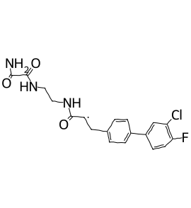 NC(=O)C(=O)NCCNC(=O)[CH]Cc1ccc(-c2ccc(F)c(Cl)c2)cc1